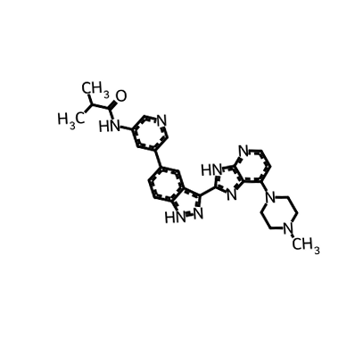 CC(C)C(=O)Nc1cncc(-c2ccc3[nH]nc(-c4nc5c(N6CCN(C)CC6)ccnc5[nH]4)c3c2)c1